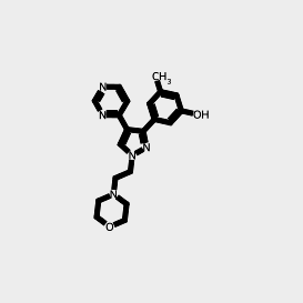 Cc1cc(O)cc(-c2nn(CCN3CCOCC3)cc2-c2ccncn2)c1